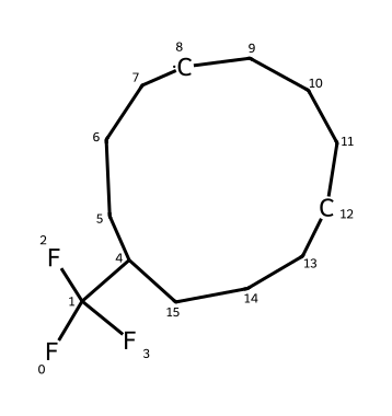 FC(F)(F)C1CCC[CH]CCCCCCC1